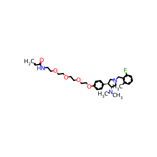 C=CC(=O)NCCOCCOCCOCCOc1ccc([C@H]2CN(Cc3c(C)cccc3F)C[C@@H]2N(C)C)cc1